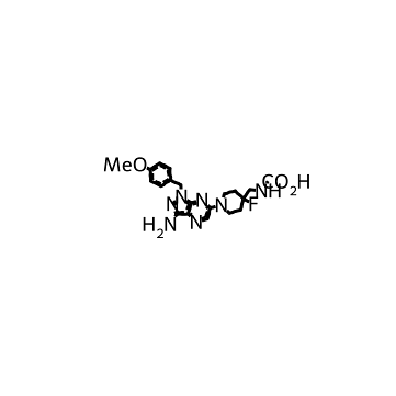 COc1ccc(Cn2nc(N)c3ncc(N4CCC(F)(CNC(=O)O)CC4)nc32)cc1